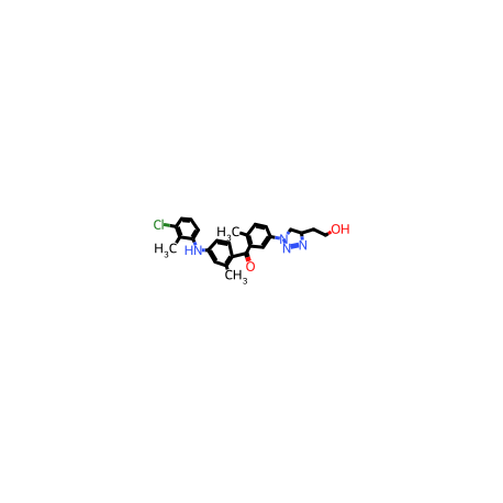 Cc1cc(Nc2cccc(Cl)c2C)ccc1C(=O)c1cc(N2CC(CCO)N=N2)ccc1C